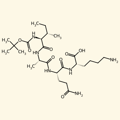 CC[C@H](C)[C@H](NC(=O)OC(C)(C)C)C(=O)N[C@@H](C)C(=O)N[C@@H](CCC(N)=O)C(=O)N[C@@H](CCCCN)C(=O)O